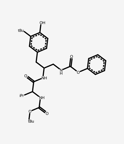 CC(C)C(NC(=O)OC(C)(C)C)C(=O)NC(CNC(=O)Oc1ccccc1)Cc1ccc(O)c(C(C)(C)C)c1